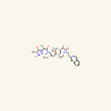 CC[C@H](C)C([C@@H](CC(=O)N1CCC[C@H]1[C@H](OC)[C@@H](C)C(=O)NCCc1cc2ccccc2cn1)OC)N(C)C(=O)[C@@H](NC(=O)[C@H](C(C)C)N(C)C)C(C)C